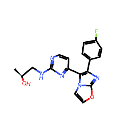 C[C@H](O)CNc1nccc(-c2c(-c3ccc(F)cc3)nc3occn23)n1